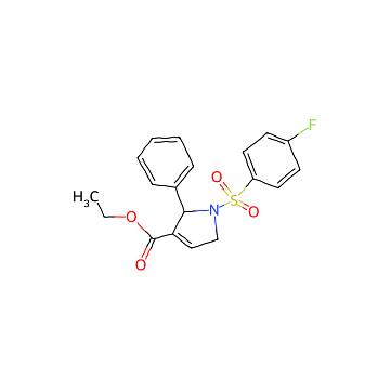 CCOC(=O)C1=CCN(S(=O)(=O)c2ccc(F)cc2)C1c1ccccc1